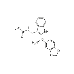 COC(=O)C(C)Cc1c([C@H](N)c2ccc3c(c2)OCO3)[nH]c2ccccc12